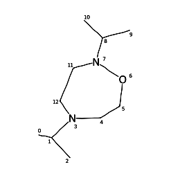 CC(C)N1CCON(C(C)C)CC1